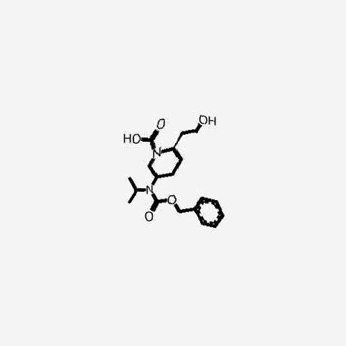 CC(C)N(C(=O)OCc1ccccc1)C1CC[C@H](CCO)N(C(=O)O)C1